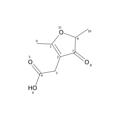 CC1=C(CC(=O)O)C(=O)C(C)O1